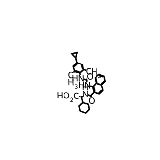 Cc1cc(C2CC2)cc(C)c1NC(=O)Nc1c(C(=O)N[C@H](C(=O)O)C2CCCCC2)ccc2ccccc12